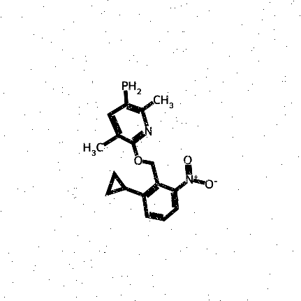 Cc1cc(P)c(C)nc1OCc1c(C2CC2)cccc1[N+](=O)[O-]